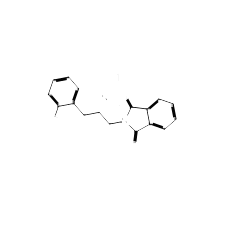 Cl.N[C@@H](Cc1ccccc1C(F)(F)F)CN1C(=O)c2ccccc2C1=O